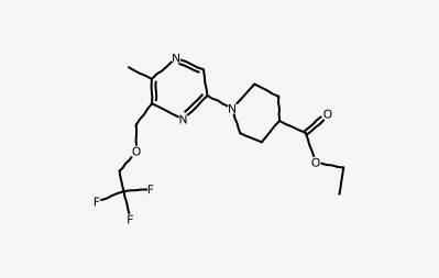 CCOC(=O)C1CCN(c2cnc(C)c(COCC(F)(F)F)n2)CC1